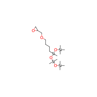 C[Si](C)(C)O[Si](C)(C)O[Si](C)(CCCCOCC1CO1)O[Si](C)(C)C